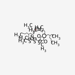 CCCCC(CC)Cc1cc2c(cc1CC(CC)CCCC)C(=O)c1c(-c3cc4c(s3)c3sc(C)cc3n4C(CC(CC)CCCC)CC(CC)CCCC)sc(C)c1C2=O